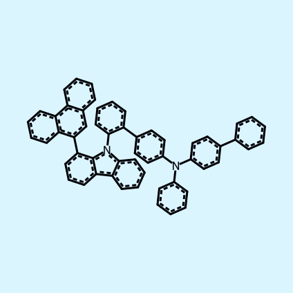 c1ccc(-c2ccc(N(c3ccccc3)c3ccc(-c4ccccc4-n4c5ccccc5c5cccc(-c6cc7ccccc7c7ccccc67)c54)cc3)cc2)cc1